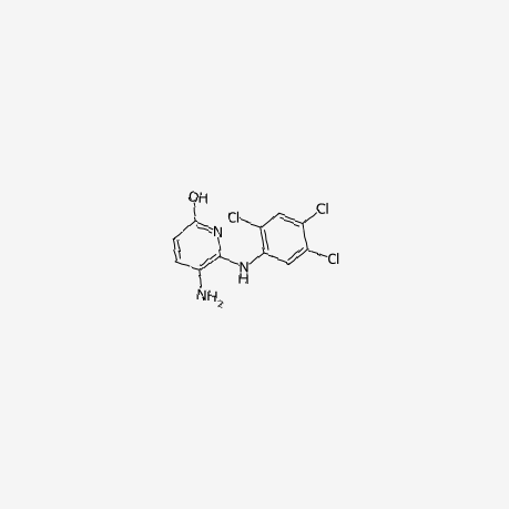 Nc1ccc(O)nc1Nc1cc(Cl)c(Cl)cc1Cl